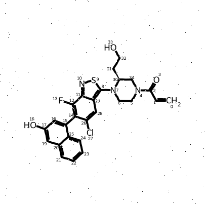 C=CC(=O)N1CCN(c2snc3c(F)c(-c4cc(O)cc5ccccc45)c(Cl)cc23)[C@@H](CCO)C1